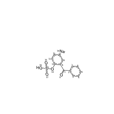 O=C(c1ccccc1)c1ccccc1OS(=O)(=O)O.[Na]